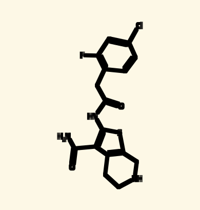 NC(=O)c1c(NC(=O)Cc2ccc(Cl)cc2F)sc2c1CCNC2